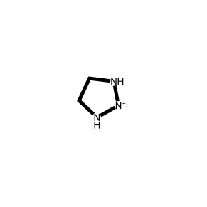 C1CN[N+]N1